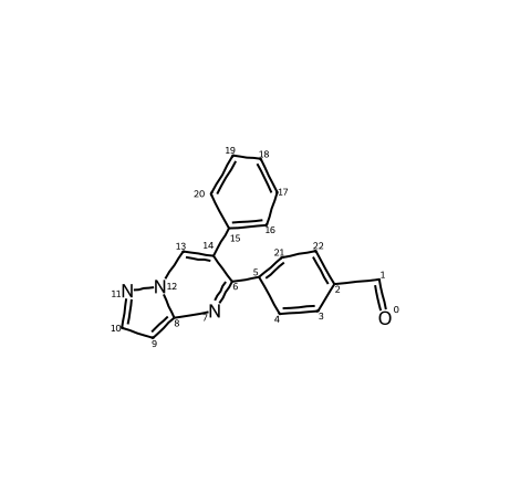 O=Cc1ccc(-c2nc3ccnn3cc2-c2ccccc2)cc1